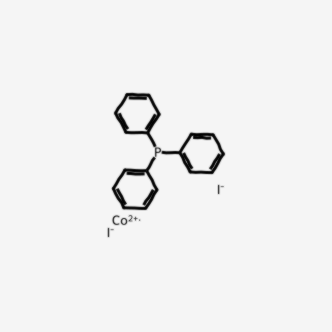 [Co+2].[I-].[I-].c1ccc(P(c2ccccc2)c2ccccc2)cc1